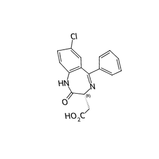 O=C(O)C[C@H]1N=C(c2ccccc2)c2cc(Cl)ccc2NC1=O